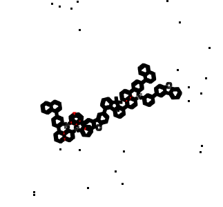 CC1(C)c2cccc(-c3ccc4oc5ccc(-c6cccc(N(c7cc(-c8cccc9ccccc89)ccc7-c7ccccc7)c7ccccc7-n7c8ccccc8c8ccccc87)c6)cc5c4c3)c2-c2cccc(-c3ccc(N(c4cccc(-c5ccc6oc7ccccc7c6c5)c4)c4cc(-c5cccc6ccccc56)ccc4-c4ccccc4)cc3)c21